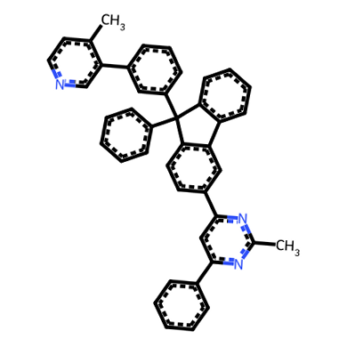 Cc1nc(-c2ccccc2)cc(-c2ccc3c(c2)-c2ccccc2C3(c2ccccc2)c2cccc(-c3cnccc3C)c2)n1